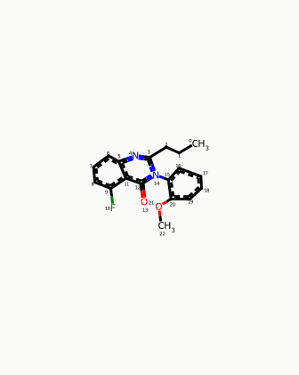 CCCc1nc2cccc(F)c2c(=O)n1-c1ccccc1OC